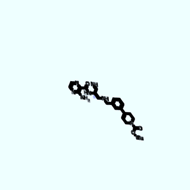 CC(C)(C)OC(=O)N1CC=C(c2cccc(CN/C=C(\C=N)NC(=O)c3nccnc3N)c2)CC1